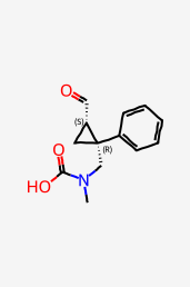 CN(C[C@]1(c2ccccc2)C[C@@H]1C=O)C(=O)O